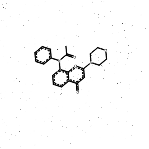 CC(=O)N(c1ccccc1)c1cccc2c(=O)cc(N3CCOCC3)oc12